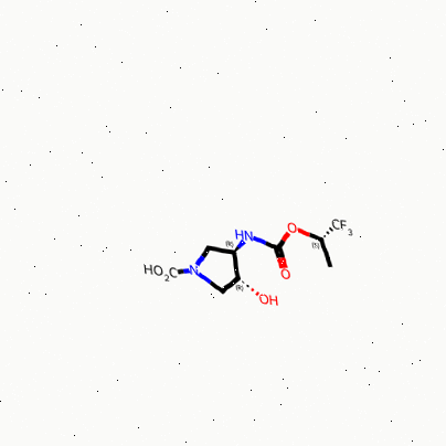 C[C@H](OC(=O)N[C@@H]1CN(C(=O)O)C[C@H]1O)C(F)(F)F